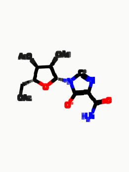 CC(=O)OC[C@H]1O[C@@H](N2[C+]=NC(C(N)=O)=C2[O-])[C@H](OC(C)=O)[C@@H]1OC(C)=O